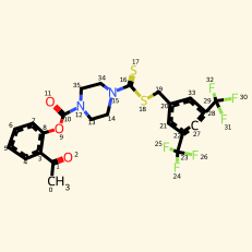 CC(=O)c1ccccc1OC(=O)N1CCN(C(=S)SCc2cc(C(F)(F)F)cc(C(F)(F)F)c2)CC1